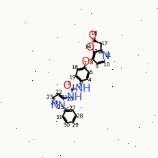 O=C(Nc1ccc(Oc2ccnc3c2OC(=O)C3)cc1)Nc1ccnn1-c1ccccc1